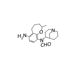 CC1CCCc2c(N)ccc(N(C=O)C3CCN4CCCC3C4)c2O1